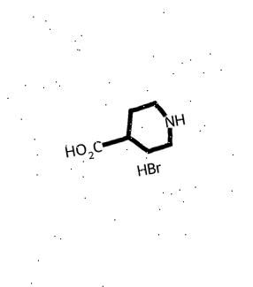 Br.O=C(O)C1CCNCC1